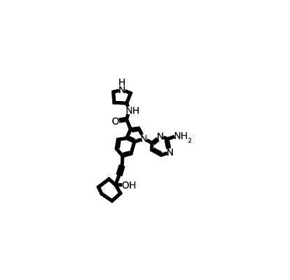 Nc1nccc(-n2cc(C(=O)NC3CCNC3)c3ccc(C#CC4(O)CCCCC4)cc32)n1